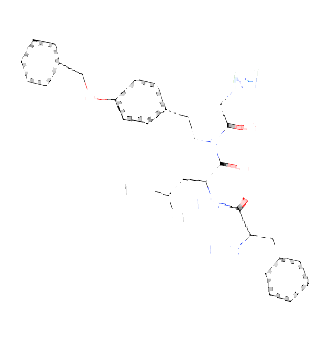 CC(C)CC(NC(=O)C(N)Cc1ccccc1)C(=O)N(CCc1ccc(OCc2ccccc2)cc1)C(=O)CN.Cl